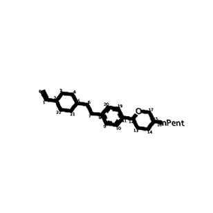 C=CC1CCC(CCc2ccc(C3CCC(CCCCC)CO3)cc2)CC1